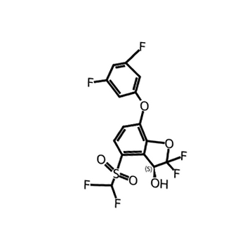 O=S(=O)(c1ccc(Oc2cc(F)cc(F)c2)c2c1[C@H](O)C(F)(F)O2)C(F)F